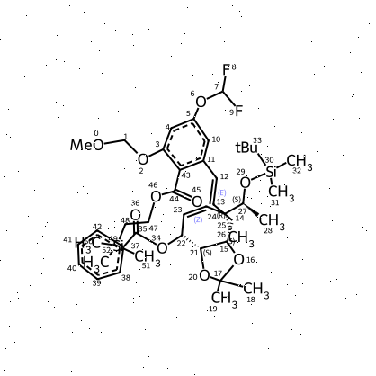 COCOc1cc(OC(F)F)cc(/C=C/C[C@@H]2OC(C)(C)O[C@@H]2C(/C=C\[C@@H](C)[C@H](C)O[Si](C)(C)C(C)(C)C)OC(=O)c2ccccc2)c1C(=O)OCC[Si](C)(C)C